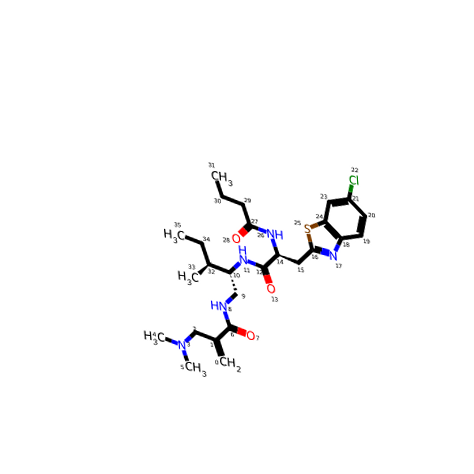 C=C(CN(C)C)C(=O)NC[C@@H](NC(=O)[C@H](Cc1nc2ccc(Cl)cc2s1)NC(=O)CCC)[C@@H](C)CC